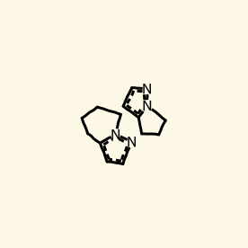 c1cc2n(n1)CCC2.c1cc2n(n1)CCCC2